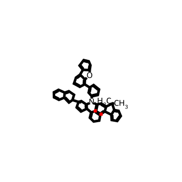 CC1(C)c2ccccc2-c2ccc(N(c3cccc(-c4cccc5c4oc4ccccc45)c3)c3cc(C4C=c5ccccc5=CC4)ccc3C3=CCCC=C3)cc21